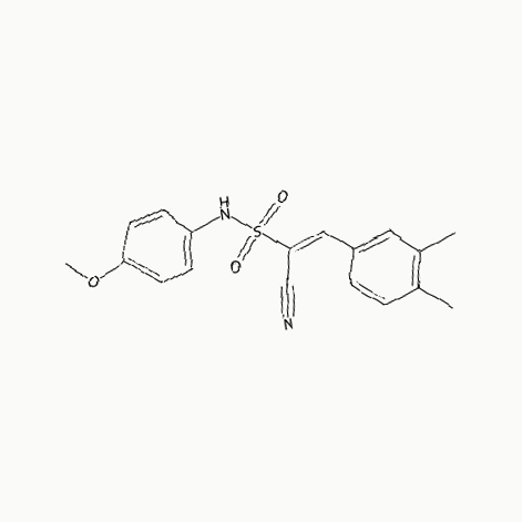 COc1ccc(NS(=O)(=O)/C(C#N)=C/c2ccc(C)c(C)c2)cc1